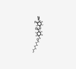 CCCCCCCOCc1ccc(C(=O)Oc2ccc(C#N)c(F)c2)cc1